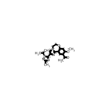 COc1cc2c(cc1C(C)=O)-c1nc(-c3nc(C)nn3C(C)C)cn1CCO2